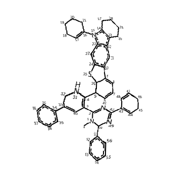 CN1C(C2=C(C3C=CC=C4c5cc6c7c(n(C8=CCCCC8)c6cc5SC43)CCCC7)NCC(c3ccccc3)=C2)=NC(C2=CCCC=C2)=NC1c1ccccc1